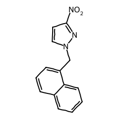 O=[N+]([O-])c1ccn(Cc2cccc3ccccc23)n1